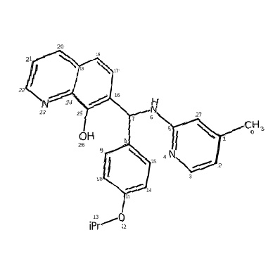 Cc1ccnc(NC(c2ccc(OC(C)C)cc2)c2ccc3cccnc3c2O)c1